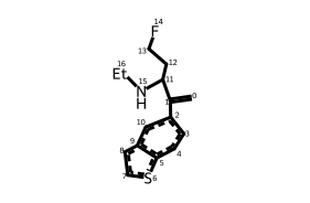 C=C(c1ccc2sccc2c1)C(CCF)NCC